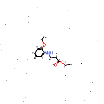 CCOC(=O)CCNc1ccccc1OCC